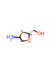 NC1[CH]O[C@@H](CO)S1